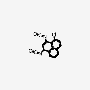 O=C=NC1=CC(N=C=O)c2cccc3ccc(Cl)c1c23